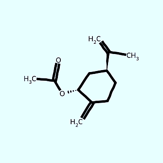 C=C(C)[C@H]1CCC(=C)[C@H](OC(C)=O)C1